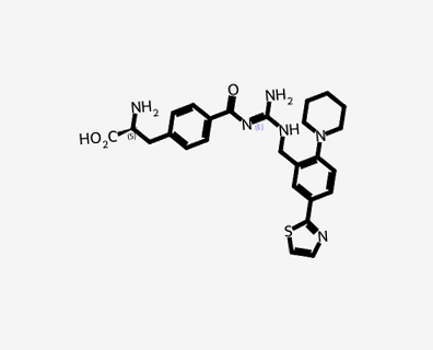 N/C(=N\C(=O)c1ccc(C[C@H](N)C(=O)O)cc1)NCc1cc(-c2nccs2)ccc1N1CCCCC1